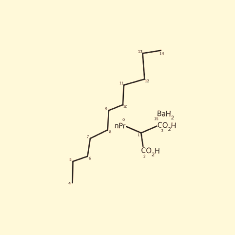 CCCC(C(=O)O)C(=O)O.CCCCCCCCCCC.[BaH2]